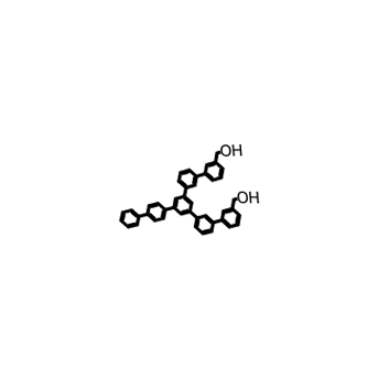 OCc1cccc(-c2cccc(-c3cc(-c4ccc(-c5ccccc5)cc4)cc(-c4cccc(-c5cccc(CO)c5)c4)c3)c2)c1